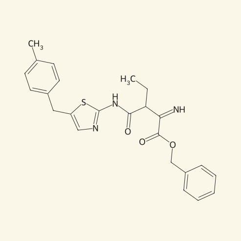 CCC(C(=N)C(=O)OCc1ccccc1)C(=O)Nc1ncc(Cc2ccc(C)cc2)s1